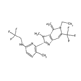 C=C1c2c(nc(-c3nc(NCC(F)(F)F)ccc3C)n2C)C=C(C(F)(F)F)N1CC